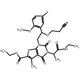 CCNC(=O)C(C)n1c(=O)c2c(C)c(C(=O)OCC)sc2n(CC(OCCC#N)c2cc(F)ccc2OC)c1=O